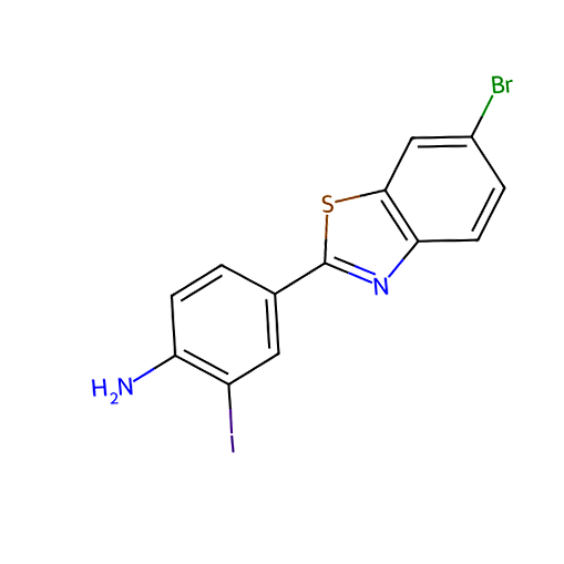 Nc1ccc(-c2nc3ccc(Br)cc3s2)cc1I